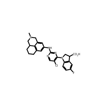 CN1Cc2cc(Nc3ncc(Cl)c(N4CC(C(=O)O)c5cc(F)ccc54)n3)cc3c2C(CCC3)C1